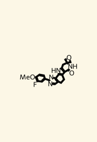 COc1ccc(-c2ncc3c(n2)-c2[nH]c4c(c2CC3)C(=O)NC2(COC2)C4)cc1F